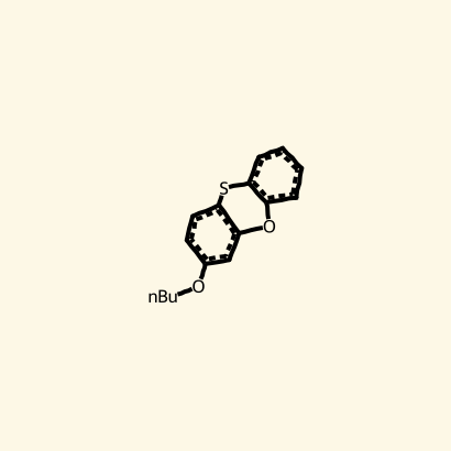 CCCCOc1ccc2c(c1)Oc1ccccc1S2